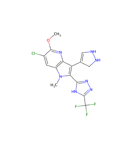 COc1nc2c(C3=CNNC3)c(-c3nnc(C(F)(F)F)[nH]3)n(C)c2cc1Cl